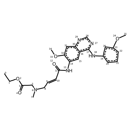 CCOC(=O)CN(C)CC=CC(=O)Nc1cc2c(Nc3cccc(OC)c3)ncnc2cc1OC